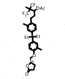 CCC(CC)(c1ccc(CCC(OC(C)=O)C(C)(C(F)(F)F)C(F)(F)F)c(C)c1)c1ccc(OC[C@H]2CCC(=O)O2)c(C)c1